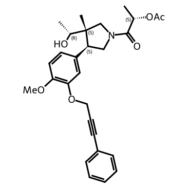 COc1ccc([C@@H]2CN(C(=O)[C@H](C)OC(C)=O)C[C@@]2(C)[C@@H](C)O)cc1OCC#Cc1ccccc1